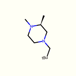 C[C@H]1CN(CC(C)(C)C)CCN1C